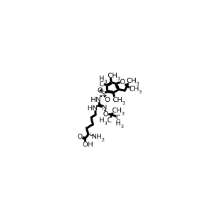 Cc1c(C)c(S(=O)(=O)NC(=NOC(C)(C)C)NCCCC[C@H](N)C(=O)O)c(C)c2c1OC(C)(C)C2